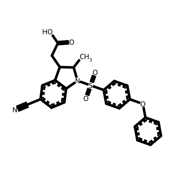 CC1C(CC(=O)O)c2cc(C#N)ccc2N1S(=O)(=O)c1ccc(Oc2ccccc2)cc1